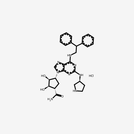 Cl.NC(=O)[C@H]1C[C@@H](n2cnc3c(NCC(c4ccccc4)c4ccccc4)nc(N[C@H]4CCNC4)nc32)[C@H](O)[C@@H]1O